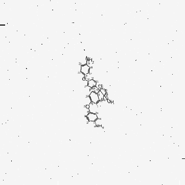 Nc1ccc(Oc2ccc(C(c3ccc(Oc4ccc(N)cc4)cc3F)(C(O)(F)F)C(F)(F)F)cc2)cc1